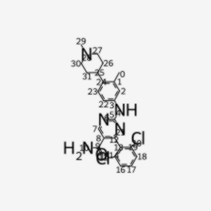 Cc1cc(Nc2ncc(C(N)=O)c(-c3c(Cl)cccc3Cl)n2)ccc1C1CCN(C)CC1